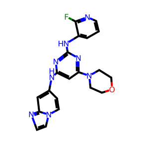 Fc1ncccc1Nc1nc(Nc2ccn3ccnc3c2)cc(N2CCOCC2)n1